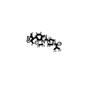 Cc1noc(C)c1-c1ccc2nc(N3CCN(C(=O)C(C)C)CC3)n3c2c1OCC3